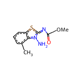 COC(=O)N=c1sc2cccc(C)c2n1N